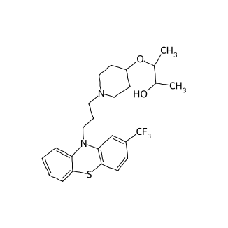 CC(O)C(C)OC1CCN(CCCN2c3ccccc3Sc3ccc(C(F)(F)F)cc32)CC1